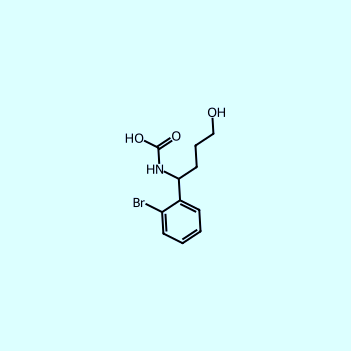 O=C(O)NC(CCCO)c1ccccc1Br